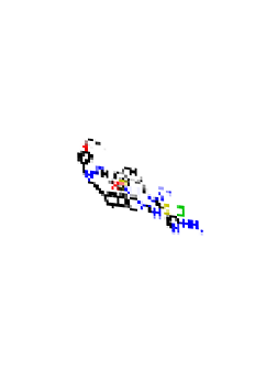 COc1ccc(CN(C#N)CC#Cc2ccc3c(c2)[C@@H](N[S@+]([O-])C(C)(C)C)C2(CCN(c4cnc(Sc5ccnc(N)c5Cl)c(N)n4)CC2)C3)cc1